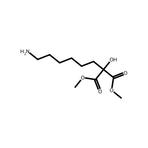 COC(=O)C(O)(CCCCCCN)C(=O)OC